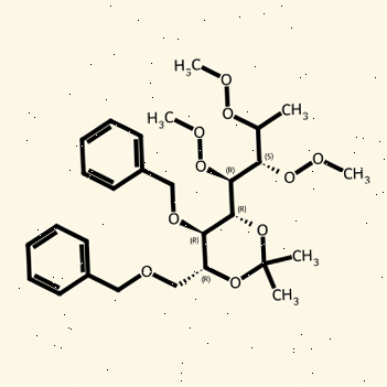 COOC(C)[C@H](OOC)[C@H](OOC)[C@@H]1OC(C)(C)O[C@H](COCc2ccccc2)[C@H]1OCc1ccccc1